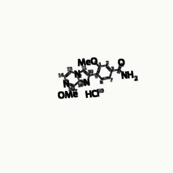 COc1cc(C(N)=O)ccc1-c1cn2ccnc(OC)c2n1.Cl